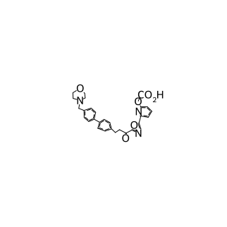 O=C(O)Oc1cccc(-c2cnc(C(=O)CCc3ccc(-c4ccc(CN5CCOCC5)cc4)cc3)o2)n1